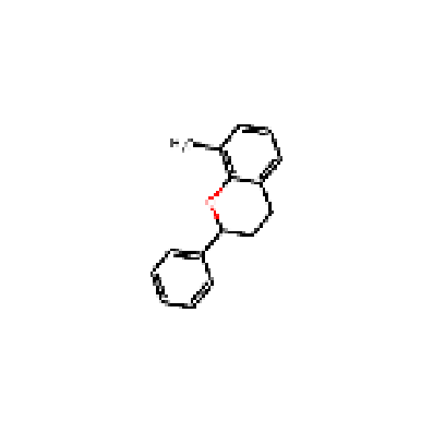 Cc1cccc2c1OC(c1ccccc1)CC2